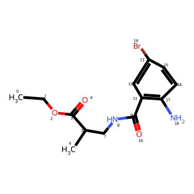 CCOC(=O)C(C)CNC(=O)c1cc(Br)ccc1N